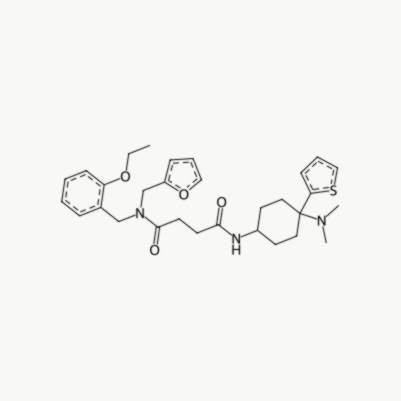 CCOc1ccccc1CN(Cc1ccco1)C(=O)CCC(=O)NC1CCC(c2cccs2)(N(C)C)CC1